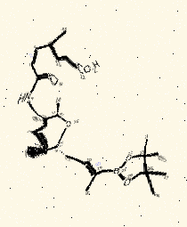 CC1=C[C@@H](NC(=O)/C=C\C(C)CC(=O)O)[C@@H](C)O[C@@H]1C/C=C(\C)B1OC(C)(C)C(C)(C)O1